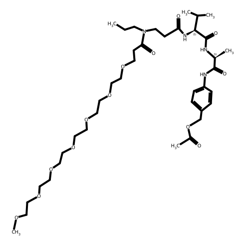 CCCN(CCC(=O)N[C@H](C(=O)N[C@@H](C)C(=O)Nc1ccc(COC(C)=O)cc1)C(C)C)C(=O)CCOCCOCCOCCOCCOCCOCCOC